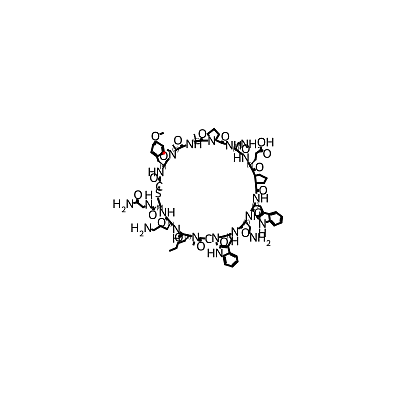 CCCC[C@H]1C(=O)N[C@@H](CCCN)C(=O)N[C@H](C(=O)NCC(N)=O)CSCC(=O)N[C@@H](Cc2ccc(OC)cc2)C(=O)N(C)[C@@H](C)C(=O)N[C@@H](C)C(=O)N2CCCC2C(=O)N[C@@H](CN)C(=O)N[C@@H](CCC(=O)O)C(=O)C2CCCC2C(=O)N[C@@H](Cc2c[nH]c3ccccc23)C(=O)N[C@@H](CCN)C(=O)N[C@@H](Cc2c[nH]c3ccccc23)C(=O)N(C)CC(=O)N1C